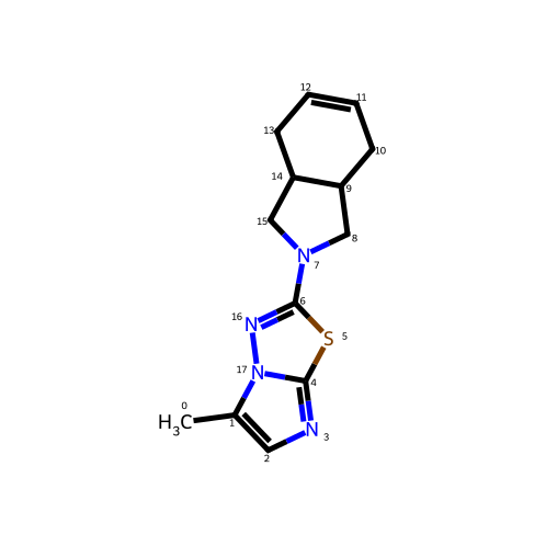 Cc1cnc2sc(N3CC4CC=CCC4C3)nn12